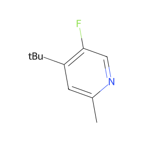 Cc1cc(C(C)(C)C)c(F)cn1